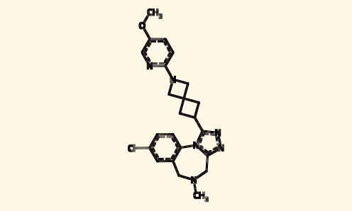 COc1ccc(N2CC3(CC(c4nnc5n4-c4ccc(Cl)cc4CN(C)C5)C3)C2)nc1